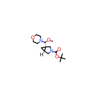 COC(N1CCOCC1)[C@@]12C[C@@H]1CN(C(=O)OC(C)(C)C)C2